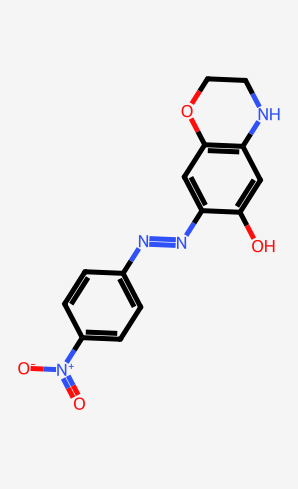 O=[N+]([O-])c1ccc(N=Nc2cc3c(cc2O)NCCO3)cc1